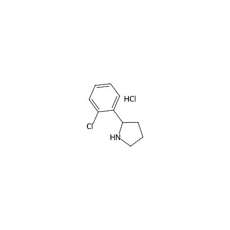 Cl.Clc1ccccc1C1CCCN1